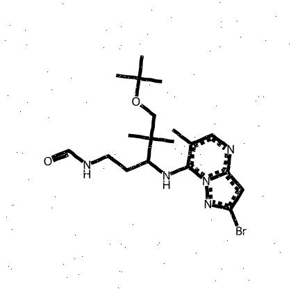 Cc1cnc2cc(Br)nn2c1NC(CCNC=O)C(C)(C)COC(C)(C)C